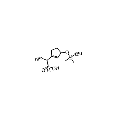 CCCC(C1=CC(O[Si](C)(C)C(C)(C)C)CC1)[PH](=O)O